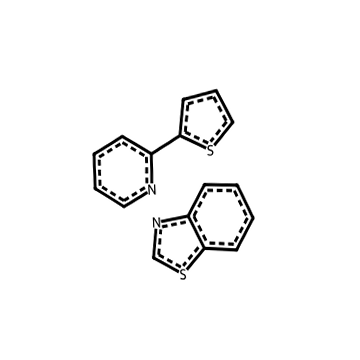 c1ccc(-c2cccs2)nc1.c1ccc2scnc2c1